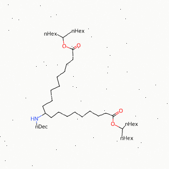 CCCCCCCCCCNC(CCCCCCCCC(=O)OC(CCCCCC)CCCCCC)CCCCCCCCC(=O)OC(CCCCCC)CCCCCC